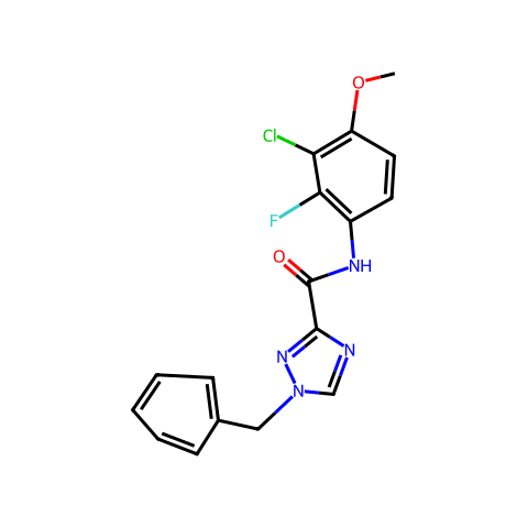 COc1ccc(NC(=O)c2ncn(Cc3ccccc3)n2)c(F)c1Cl